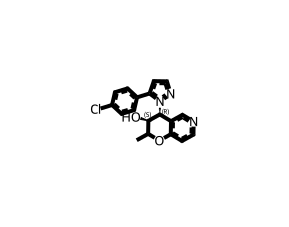 CC1Oc2ccncc2[C@@H](n2nccc2-c2ccc(Cl)cc2)[C@@H]1O